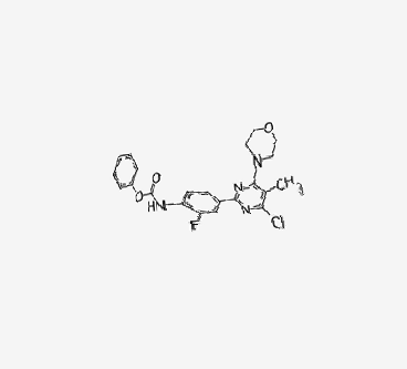 Cc1c(Cl)nc(-c2ccc(NC(=O)Oc3ccccc3)c(F)c2)nc1N1CCOCC1